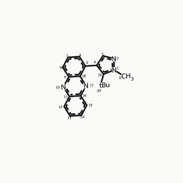 Cn1ncc(-c2cccc3nc4ccccc4nc23)c1C(C)(C)C